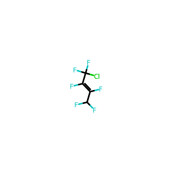 FC(=C(F)C(F)(F)Cl)C(F)F